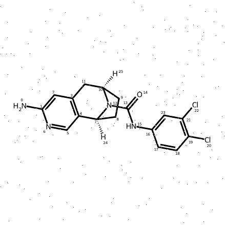 Nc1cc2c(cn1)[C@@H]1CC[C@H](C2)N1C(=O)Nc1ccc(Cl)c(Cl)c1